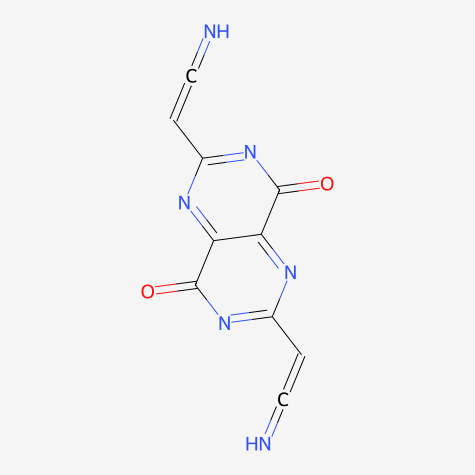 N=C=CC1=NC(=O)C2=NC(C=C=N)=NC(=O)C2=N1